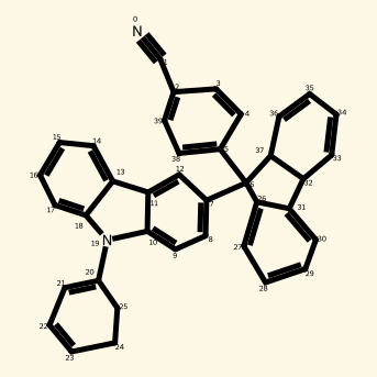 N#Cc1ccc(C2(c3ccc4c(c3)c3ccccc3n4C3=CC=CCC3)c3ccccc3C3C=CC=CC32)cc1